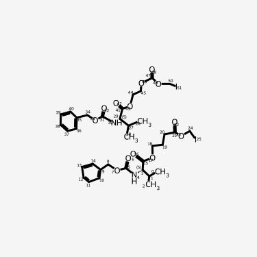 CC(C)[C@H](NC(=O)OCc1ccccc1)C(=O)OCCCC(=O)OCI.CC(C)[C@H](NC(=O)OCc1ccccc1)C(=O)OCCOC(=O)OCI